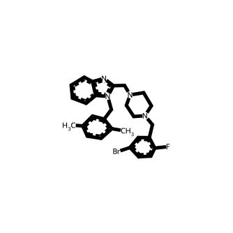 Cc1ccc(C)c(Cn2c(CN3CCN(Cc4cc(Br)ccc4F)CC3)nc3ccccc32)c1